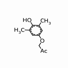 CC(=O)COc1cc(C)c(O)c(C)c1